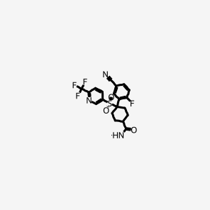 N#Cc1ccc(F)c(C2(S(=O)(=O)c3ccc(C(F)(F)F)nc3)CCC(C([NH])=O)CC2)c1